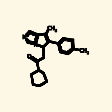 CC1=C(c2ccc(C)cc2)C(CC(=O)C2CCCCC2)n2cncc21